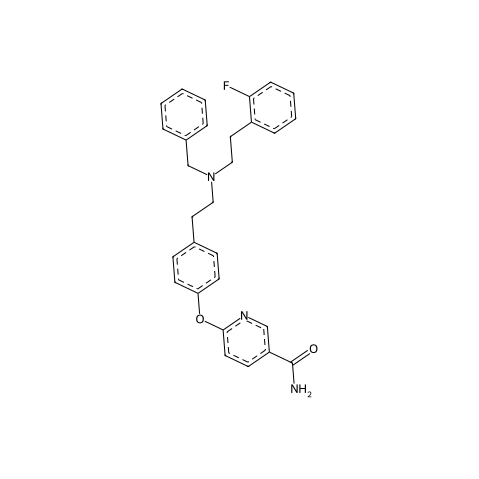 NC(=O)c1ccc(Oc2ccc(CCN(CCc3ccccc3F)Cc3ccccc3)cc2)nc1